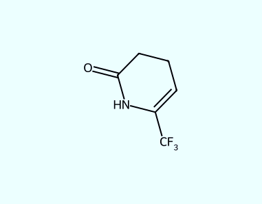 O=C1CCC=C(C(F)(F)F)N1